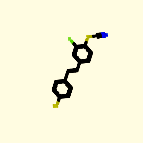 N#CSc1ccc(/C=C/c2ccc(S)cc2)cc1F